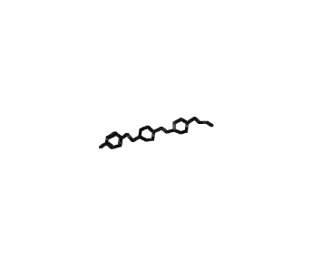 CCCCC1CCC(CCC2CCC(CCc3ccc(C)cc3)CC2)CC1